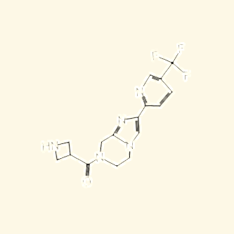 O=C(C1CNC1)N1CCn2cc(-c3ccc(C(F)(F)F)cn3)nc2C1